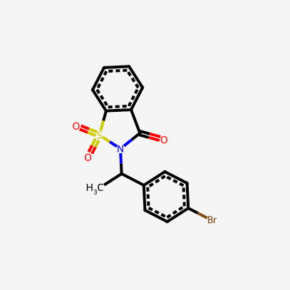 CC(c1ccc(Br)cc1)N1C(=O)c2ccccc2S1(=O)=O